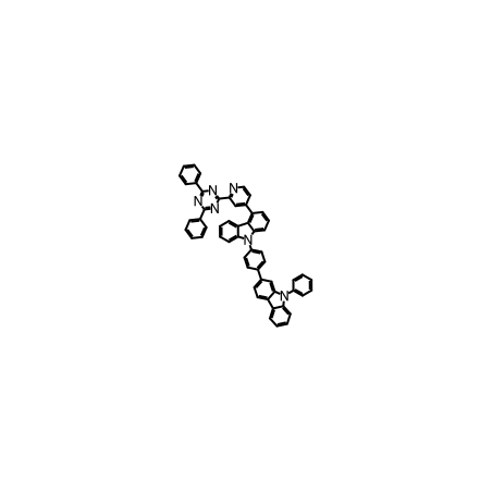 c1ccc(-c2nc(-c3ccccc3)nc(-c3cc(-c4cccc5c4c4ccccc4n5-c4ccc(-c5ccc6c7ccccc7n(-c7ccccc7)c6c5)cc4)ccn3)n2)cc1